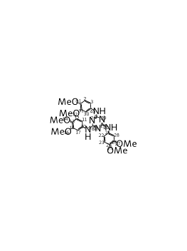 COc1ccc(Nc2nc(Nc3ccc(OC)c(OC)c3)nc(Nc3ccc(OC)c(OC)c3)n2)cc1OC